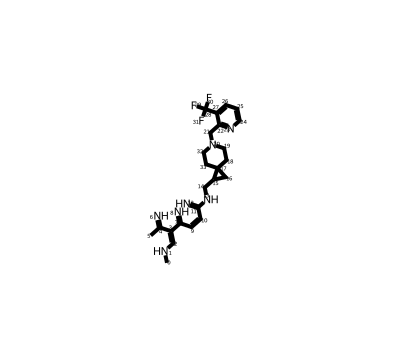 CN/C=C(\C(C)=N)C(=N)/C=C\C(=N)NCC1CC12CCN(Cc1ncccc1C(F)(F)F)CC2